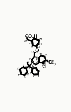 CC(c1ccccc1)(c1ccccc1)N(CCCOc1cccc(CC(=O)O)c1)Cc1cccc(C(F)(F)F)c1Cl.Cl